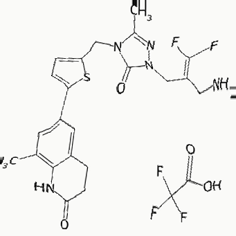 Cc1cc(-c2ccc(Cn3c(C)nn(CC(CN)=C(F)F)c3=O)s2)cc2c1NC(=O)CC2.O=C(O)C(F)(F)F